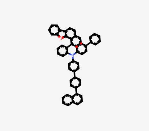 c1ccc(-c2ccc(N(c3ccc(-c4ccc(-c5cccc6ccccc56)cc4)cc3)c3ccccc3-c3cccc4ccc5c6ccccc6oc5c34)cc2)cc1